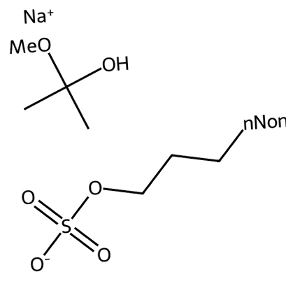 CCCCCCCCCCCCOS(=O)(=O)[O-].COC(C)(C)O.[Na+]